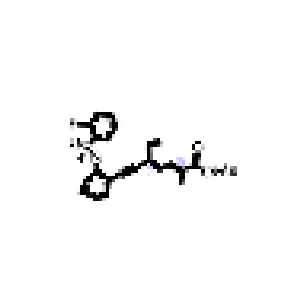 C=C/C(C#Cc1ccccc1N=S(C)(=O)c1ccccc1F)=C\C=C(/C)C(=O)OC